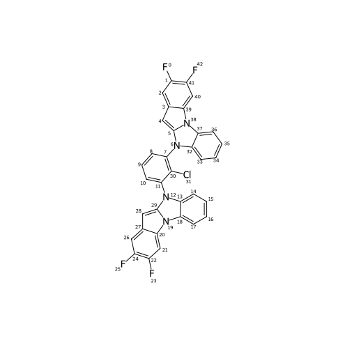 Fc1cc2cc3n(-c4cccc(-n5c6ccccc6n6c7cc(F)c(F)cc7cc56)c4Cl)c4ccccc4n3c2cc1F